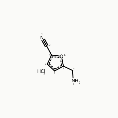 Cl.N#Cc1ccc(CN)o1